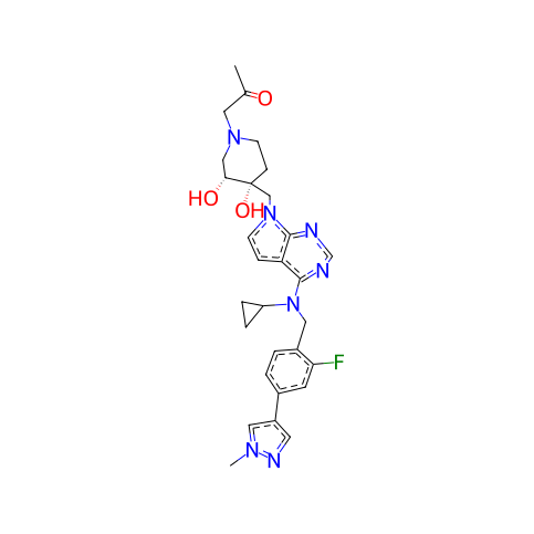 CC(=O)CN1CC[C@@](O)(Cn2ccc3c(N(Cc4ccc(-c5cnn(C)c5)cc4F)C4CC4)ncnc32)[C@H](O)C1